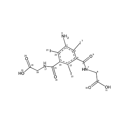 Nc1c(I)c(C(=O)NCC(=O)O)c(I)c(C(=O)NCC(=O)O)c1I